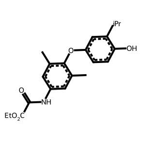 CCOC(=O)C(=O)Nc1cc(C)c(Oc2ccc(O)c(C(C)C)c2)c(C)c1